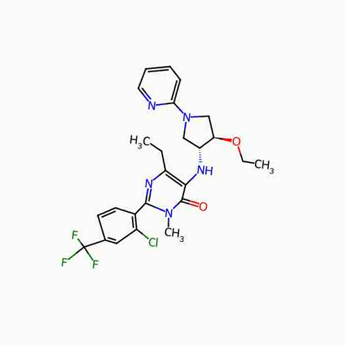 CCO[C@@H]1CN(c2ccccn2)C[C@H]1Nc1c(CC)nc(-c2ccc(C(F)(F)F)cc2Cl)n(C)c1=O